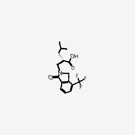 CC(C)C[C@@H](CN1Cc2c(cccc2C(F)(F)F)C1=O)C(=O)O